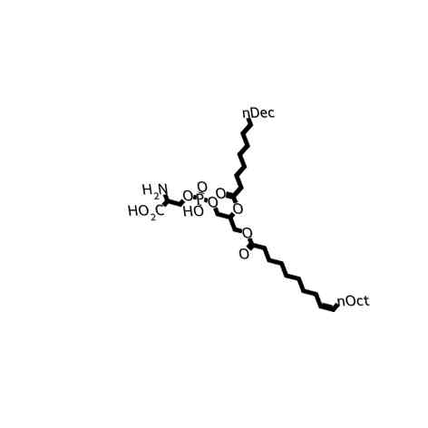 CCCCCCCC/C=C\CCCCCCCC(=O)OCC(COP(=O)(O)OCC(N)C(=O)O)OC(=O)CCCCCCCCCCCCCCCCC